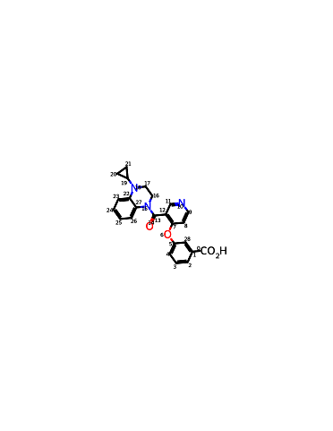 O=C(O)c1cccc(Oc2ccncc2C(=O)N2CCN(C3CC3)c3ccccc32)c1